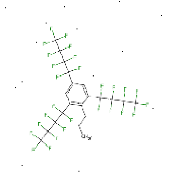 [CH2]CCc1c(C(F)(F)C(F)(F)C(F)(F)C(F)(F)F)cc(C(F)(F)C(F)(F)C(F)(F)C(F)(F)F)cc1C(F)(F)C(F)(F)C(F)(F)C(F)(F)F